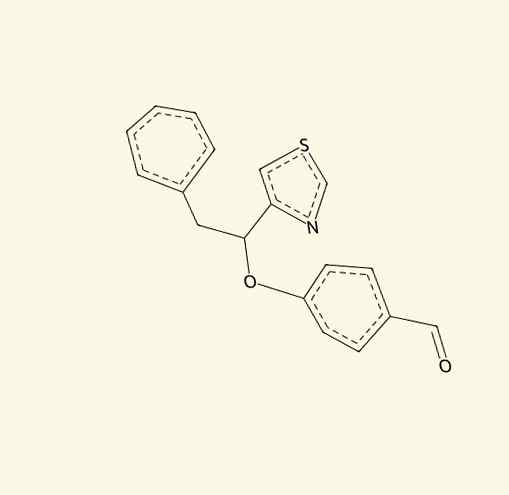 O=Cc1ccc(OC(Cc2ccccc2)c2cscn2)cc1